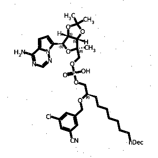 CCCCCCCCCCCCCCCCC[C@H](COP(=O)(O)OC[C@@]1(C)O[C@@H](c2ccc3c(N)ncnn23)[C@@H]2OC(C)(C)O[C@@H]21)OCc1cc(Cl)cc(C#N)c1